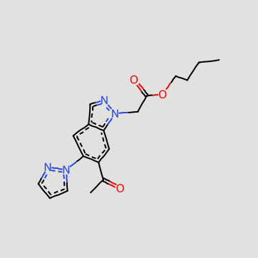 CCCCOC(=O)Cn1ncc2cc(-n3cccn3)c(C(C)=O)cc21